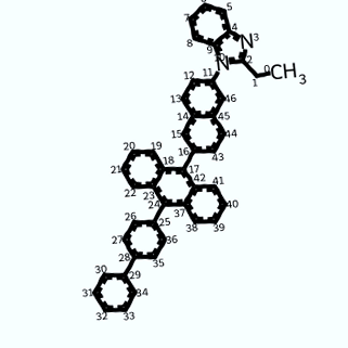 CCc1nc2ccccc2n1-c1ccc2cc(-c3c4ccccc4c(-c4ccc(-c5ccccc5)cc4)c4ccccc34)ccc2c1